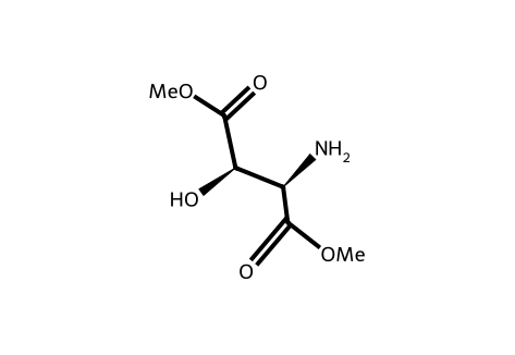 COC(=O)[C@H](N)[C@@H](O)C(=O)OC